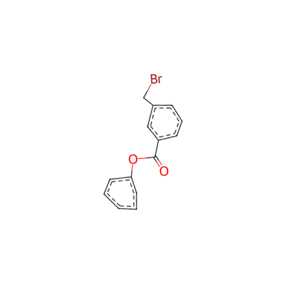 O=C(Oc1ccccc1)c1cccc(CBr)c1